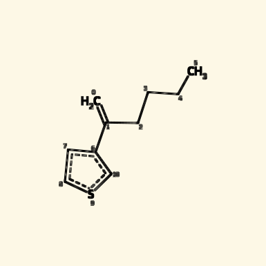 C=C(CCCC)c1ccsc1